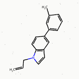 C=CCn1ccc2cc(-c3cccc(C)c3)ccc21